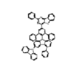 c1ccc(-c2nc(-c3cc(-c4ccccc4)c(-n4c5ccc(-n6c7ccccc7c7ccccc76)cc5c5c(-c6ccccc6)cccc54)c(-c4ccccc4)c3)c3sc4ccccc4c3n2)cc1